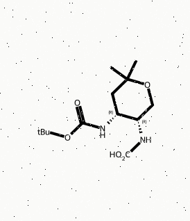 CC(C)(C)OC(=O)N[C@@H]1CC(C)(C)OC[C@@H]1NC(=O)O